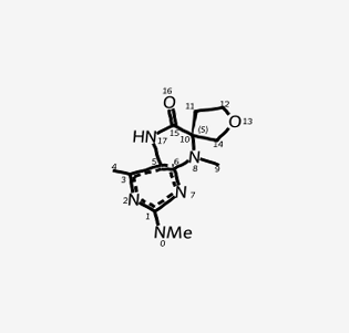 CNc1nc(C)c2c(n1)N(C)[C@]1(CCOC1)C(=O)N2